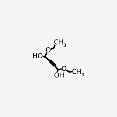 CCOC(O)C#CC(O)OCC